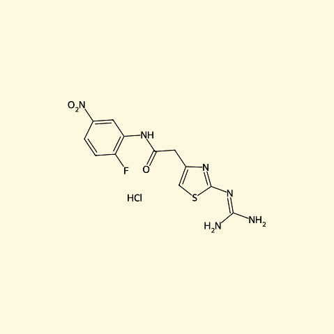 Cl.NC(N)=Nc1nc(CC(=O)Nc2cc([N+](=O)[O-])ccc2F)cs1